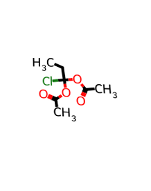 CCC(Cl)(OC(C)=O)OC(C)=O